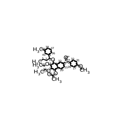 CCCC(Oc1c(OCC)c(OCC)c(OC(C)=O)c2ccc([S+]([O-])c3ccc(OC)cc3)cc12)c1cccc(C)c1